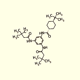 CC(C)(C)CC(=O)Nc1cc(NC(=O)CC(C)(C)C)cc(NC(=O)[C@H]2CC[C@H](C(C)(C)C)CC2)c1